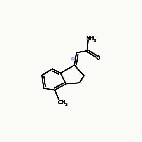 Cc1cccc2c1CC/C2=C\C(N)=O